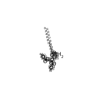 CCCCCCCCCCCCCCCCCC(=O)OC(c1ccc(OC(=O)c2ccc(C)cc2)c(COC(=O)c2ccc(C)cc2)c1)C(N)C(C)(C)C